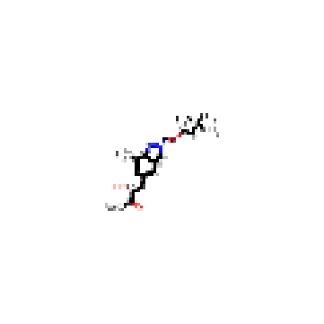 COC(=O)[C@H](O)Cc1cc(C)c2nn(COCC[Si](C)(C)C)cc2c1